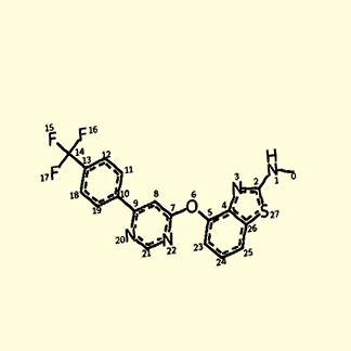 CNc1nc2c(Oc3cc(-c4ccc(C(F)(F)F)cc4)ncn3)cccc2s1